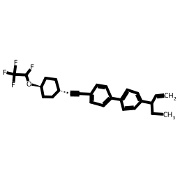 C=CC(CC)c1ccc(-c2ccc(C#C[C@H]3CC[C@H](OC(F)C(F)(F)F)CC3)cc2)cc1